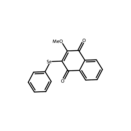 COC1=C([Se]c2ccccc2)C(=O)c2ccccc2C1=O